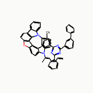 C=C/C=C\C=C(/C)n1c2ccccc2c2c3c(ccc21)oc1ccc2c4ccccc4n(-c4ccc(-c5nc(-c6ccccc6)nc(-c6cccc(-c7ccccc7)c6)n5)cc4C#N)c2c13